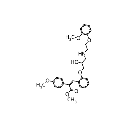 COC(=O)C(=Cc1ccccc1OCC(O)CNCCOc1ccccc1OC)c1ccc(OC)cc1